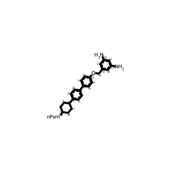 CCCCCC1CCC(c2ccc(-c3ccc(OCc4cc(N)cc(N)c4)cc3)cc2)CC1